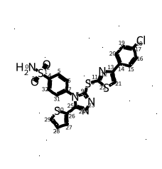 NS(=O)(=O)c1ccc(-n2c(Sc3nc(-c4ccc(Cl)cc4)cs3)nnc2-c2cccs2)cc1